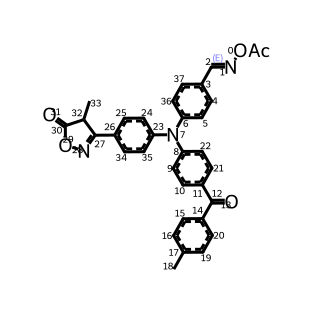 CC(=O)O/N=C/c1ccc(N(c2ccc(C(=O)c3ccc(C)cc3)cc2)c2ccc(C3=NOC(=O)C3C)cc2)cc1